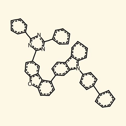 c1ccc(-c2ccc(-n3c4ccccc4c4ccc(-c5cccc6oc7ccc(-c8nc(-c9ccccc9)nc(-c9ccccc9)n8)cc7c56)cc43)cc2)cc1